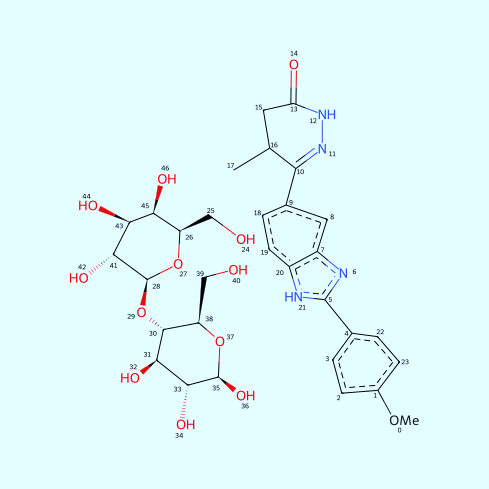 COc1ccc(-c2nc3cc(C4=NNC(=O)CC4C)ccc3[nH]2)cc1.OC[C@H]1O[C@@H](O[C@H]2[C@H](O)[C@@H](O)[C@H](O)O[C@@H]2CO)[C@H](O)[C@@H](O)[C@H]1O